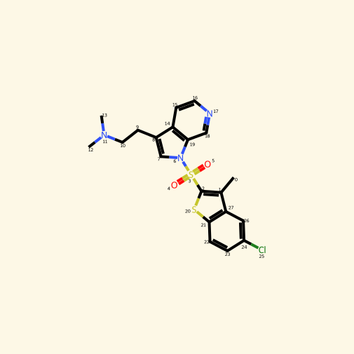 Cc1c(S(=O)(=O)n2cc(CCN(C)C)c3ccncc32)sc2ccc(Cl)cc12